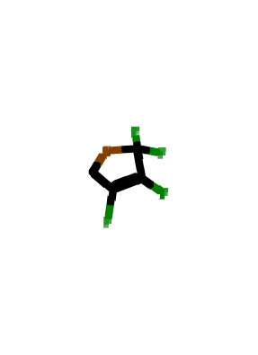 FC1=C(F)C(F)(F)SC1